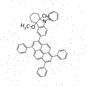 COC12CCCCC1(C)N(c1ccccc1)c1ccc(-c3cc(-c4ccccc4)c4ccc5c(-c6ccccc6)cc(-c6ccccc6)c6ccc3c4c56)cc12